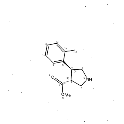 COC(=O)[C@H]1CNC[C@@H]1c1ccccc1C